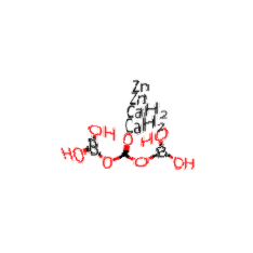 O=C(OB(O)O)OB(O)O.[CaH2].[CaH2].[Zn].[Zn]